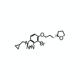 Brc1c(OCCC[C@@H]2CCCO2)ccc2c1nnn2CC1CC1